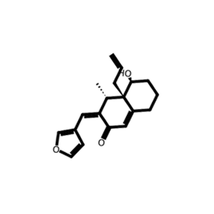 C=CC[C@@]12C(=CC(=O)C(=Cc3ccoc3)[C@@H]1C)CCC[C@@H]2O